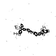 CC/C(=C(\c1ccc(O)cc1)c1ccc(N2CCC(CNC3CCN(c4ccc5c(c4)CN(C4CCC(=O)NC4=O)C5=O)CC3)CC2)cc1)c1ccccc1